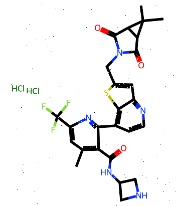 Cc1cc(C(F)(F)F)nc(-c2ccnc3cc(CN4C(=O)C5C(C4=O)C5(C)C)sc23)c1C(=O)NC1CNC1.Cl.Cl